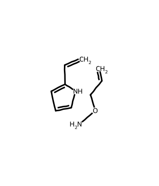 C=CCON.C=Cc1ccc[nH]1